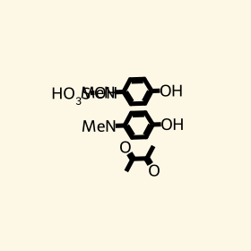 CC(=O)C(C)=O.CNc1ccc(O)cc1.CNc1ccc(O)cc1.O=S(=O)(O)O